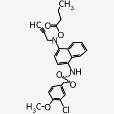 C#CCN(OC(=O)CCC)c1ccc(NS(=O)(=O)c2ccc(OC)c(Cl)c2)c2ccccc12